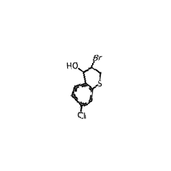 OC1c2ccc(Cl)cc2SCC1Br